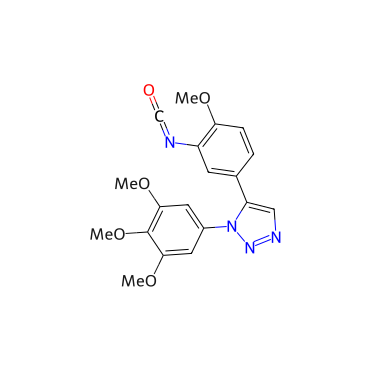 COc1ccc(-c2cnnn2-c2cc(OC)c(OC)c(OC)c2)cc1N=C=O